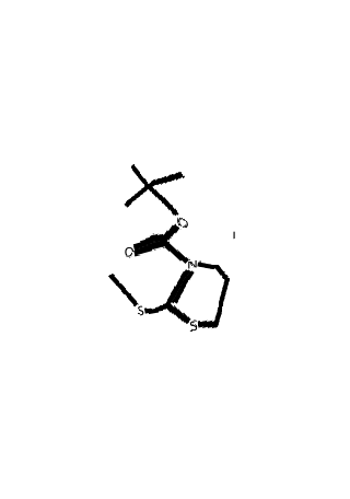 CSC1=[N+](C(=O)OC(C)(C)C)CCCS1.[I-]